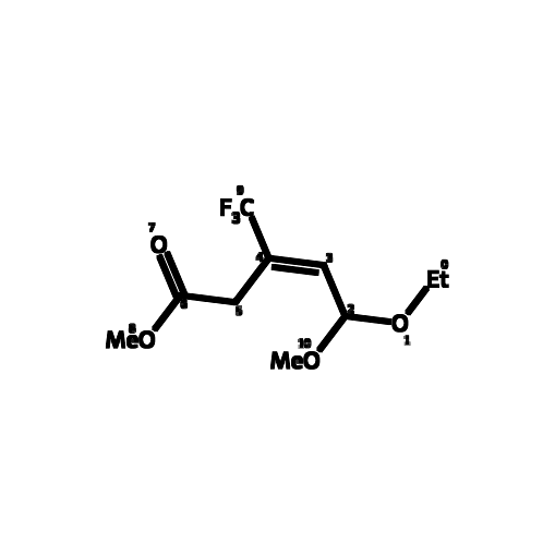 CCOC(C=C(CC(=O)OC)C(F)(F)F)OC